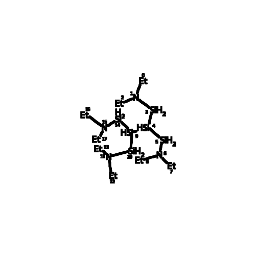 CCN(CC)[SiH2][SiH]([SiH2]N(CC)CC)[SiH]([SiH2]N(CC)CC)[SiH2]N(CC)CC